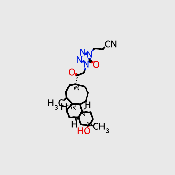 CC1CC[C@H](C(=O)Cn2nnn(CCC#N)c2=O)CCCC2[C@H]1CC[C@@H]1C[C@](C)(O)CC[C@H]21